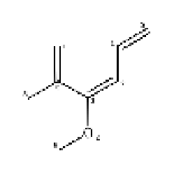 C=C/C=C(/OC)C(=C)C